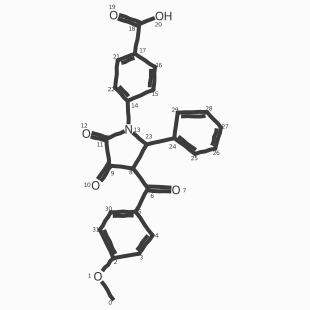 COc1ccc(C(=O)C2C(=O)C(=O)N(c3ccc(C(=O)O)cc3)C2c2ccccc2)cc1